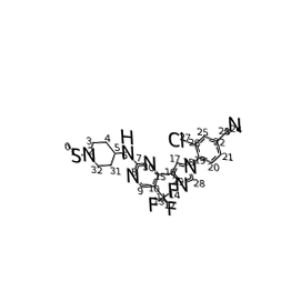 CSN1CCC(Nc2ncc(C(F)(F)F)c(-c3cn(-c4ccc(C#N)cc4Cl)cn3)n2)CC1